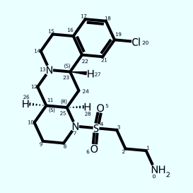 NCCCS(=O)(=O)N1CCC[C@H]2CN3CCc4ccc(Cl)cc4[C@@H]3C[C@H]21